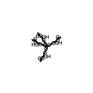 C=CC(=O)OCC(O)COCCOCC(COCCOCC(O)COC(=O)C=C)(COCCOCC(O)COC(=O)C=C)COCCOCC(O)COC(=O)C=C